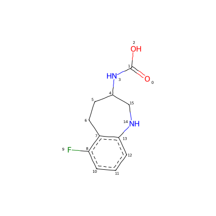 O=C(O)NC1CCc2c(F)cccc2NC1